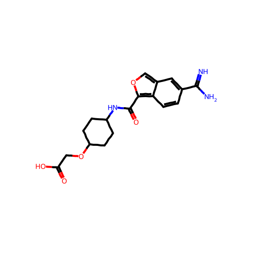 N=C(N)c1ccc2c(C(=O)NC3CCC(OCC(=O)O)CC3)occ2c1